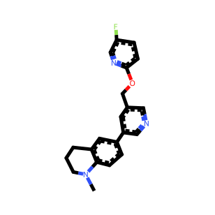 CN1CCCc2cc(-c3cncc(COc4ccc(F)cn4)c3)ccc21